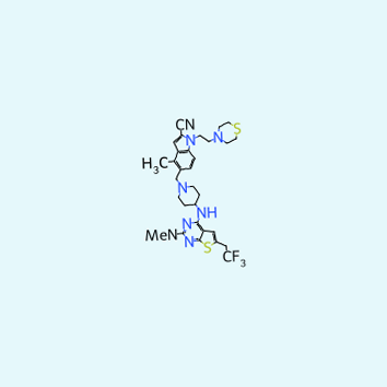 CNc1nc(NC2CCN(Cc3ccc4c(cc(C#N)n4CCN4CCSCC4)c3C)CC2)c2cc(CC(F)(F)F)sc2n1